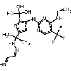 CCNc1nc(Nc2cc(C(C)(C)N/N=C\C=N)nn2C(O)(O)O)ncc1C(F)(F)F